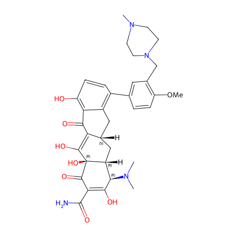 COc1ccc(-c2ccc(O)c3c2C[C@@H]2C[C@@H]4[C@@H](N(C)C)C(O)=C(C(N)=O)C(=O)[C@]4(O)C(O)=C2C3=O)cc1CN1CCN(C)CC1